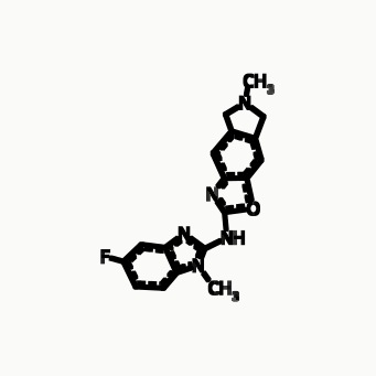 CN1Cc2cc3nc(Nc4nc5cc(F)ccc5n4C)oc3cc2C1